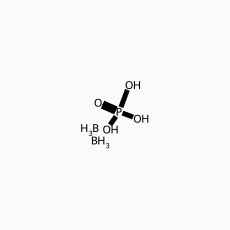 B.B.O=P(O)(O)O